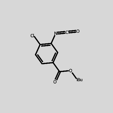 CCC(C)OC(=O)c1ccc(Cl)c(N=C=O)c1